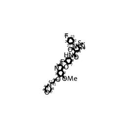 COc1cc2c(Oc3ccc(NC(=O)c4cc5ncsc5n(-c5ccc(F)cc5)c4=O)cc3F)ccnc2cc1OCCCN1CCOCC1